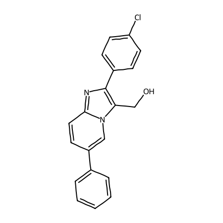 OCc1c(-c2ccc(Cl)cc2)nc2ccc(-c3ccccc3)cn12